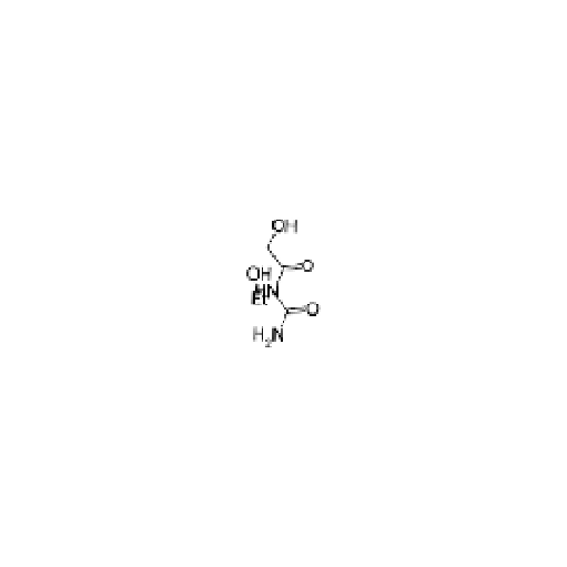 CCO.NC(=O)NC(=O)CO